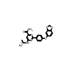 CC(=O)[C@H](C)Nc1cc(C(N)=O)nc(-c2ccc(Oc3ccc4c(c3)OCO4)cc2)n1